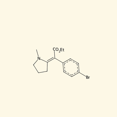 CCOC(=O)C(=C1CCCN1C)c1ccc(Br)cc1